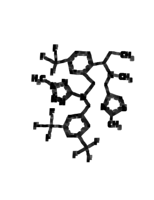 CCC(c1ccc(C(F)(F)F)cc1CN(Cc1cc(C(F)(F)F)cc(C(F)(F)F)c1)c1nnn(C)n1)N(C)Cc1csc(C)n1